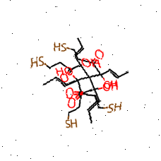 CC=CC(O)(C(=O)CCS)C(C(O)(C=CC)C(=O)CCS)(C(O)(C=CC)C(=O)CCS)C(O)(C=CC)C(=O)CCS